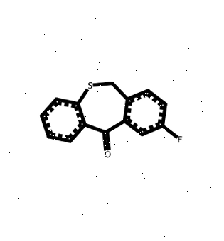 O=C1c2cc(F)ccc2CSc2ccccc21